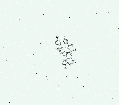 C/C=C\[C@@H]1C[C@]1(NC(=O)C1C[C@H](OS(=O)(=O)c2ccc(Br)cc2)CN1C(=O)[C@@H](NC(=O)c1ccn(C)n1)C1CC1)C(=O)OC